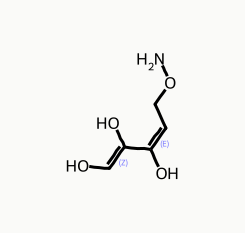 NOC/C=C(O)\C(O)=C\O